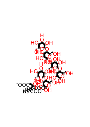 O=C([O-])CC(O)(CC(=O)[O-])C(=O)[O-].OC[C@H]1O[C@@H](O[C@H]2[C@H](O)[C@@H](O)[C@@H](O)O[C@@H]2CO)[C@H](O)[C@@H](O)[C@H]1O.OC[C@H]1O[C@@H](O[C@H]2[C@H](O)[C@@H](O)[C@@H](O)O[C@@H]2CO)[C@H](O)[C@@H](O)[C@H]1O.OC[C@H]1O[C@@H](O[C@H]2[C@H](O)[C@@H](O)[C@@H](O)O[C@@H]2CO)[C@H](O)[C@@H](O)[C@H]1O.[Na+].[Na+].[Na+]